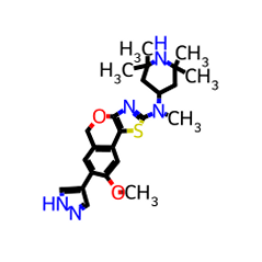 COc1cc2c(cc1-c1cn[nH]c1)COc1nc(N(C)C3CC(C)(C)NC(C)(C)C3)sc1-2